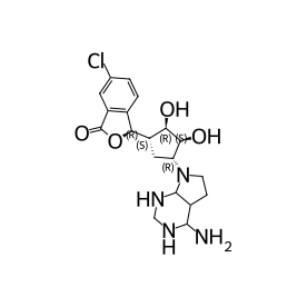 NC1NCNC2C1CCN2[C@@H]1C[C@H]([C@H]2OC(=O)c3cc(Cl)ccc32)[C@@H](O)[C@H]1O